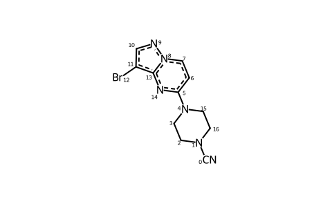 N#CN1CCN(c2ccn3ncc(Br)c3n2)CC1